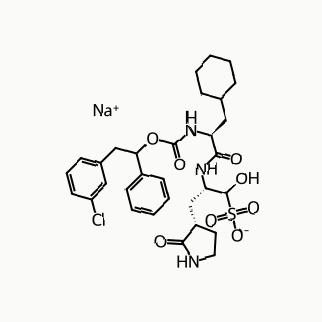 O=C(N[C@@H](CC1CCCCC1)C(=O)N[C@@H](C[C@@H]1CCNC1=O)C(O)S(=O)(=O)[O-])OC(Cc1cccc(Cl)c1)c1ccccc1.[Na+]